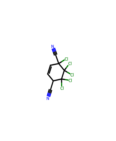 N#CC1C=CC(Cl)(C#N)C(Cl)(Cl)C1(Cl)Cl